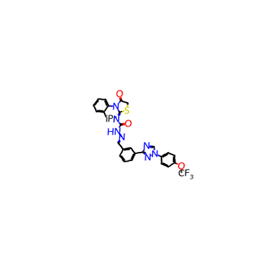 CC(C)c1ccccc1N1C(=O)CS/C1=N\C(=O)N/N=C/c1cccc(-c2ncn(-c3ccc(OC(F)(F)F)cc3)n2)c1